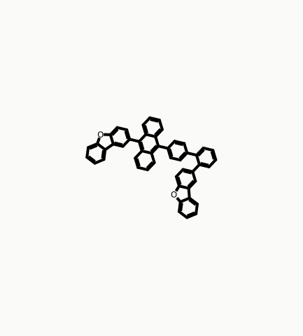 c1ccc(-c2ccc3oc4ccccc4c3c2)c(-c2ccc(-c3c4ccccc4c(-c4ccc5oc6ccccc6c5c4)c4ccccc34)cc2)c1